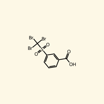 O=C(O)c1cccc(S(=O)(=O)C(Br)(Br)Br)c1